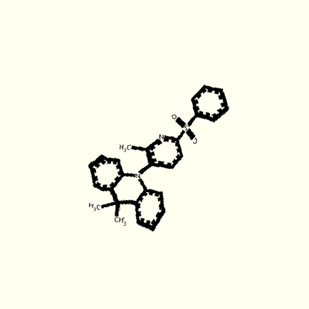 Cc1nc(S(=O)(=O)c2ccccc2)ccc1N1c2ccccc2C(C)(C)c2ccccc21